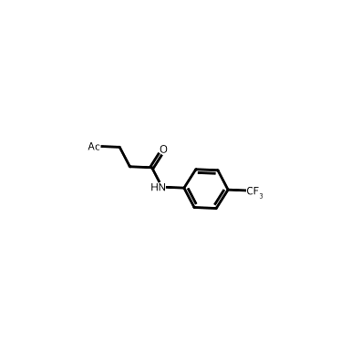 CC(=O)CCC(=O)Nc1ccc(C(F)(F)F)cc1